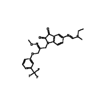 CCN(C)C=Nc1ccc2c(c1)C(=O)C(=O)N2CC(COc1cccc(C(F)(F)F)c1)=NOC